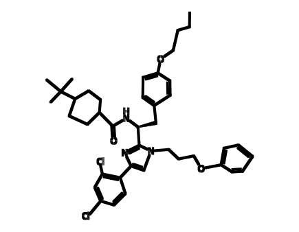 CCCCOc1ccc(C[C@H](NC(=O)C2CCC(C(C)(C)C)CC2)c2nc(-c3ccc(Cl)cc3Cl)cn2CCCOc2ccccc2)cc1